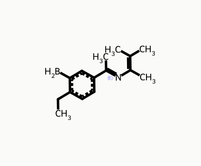 Bc1cc(/C(C)=N/C(C)=C(C)C)ccc1CC